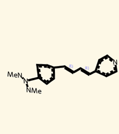 CNN(NC)c1ccc(/C=C/C=C/c2ccncc2)cc1